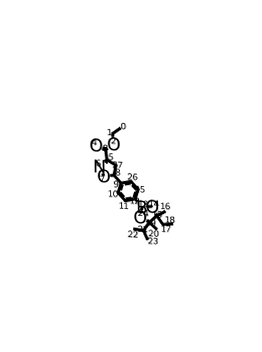 CCOC(=O)C1=NOC(c2ccc(B3OC(C)(CC)C(C)(C(C)C)O3)cc2)C1